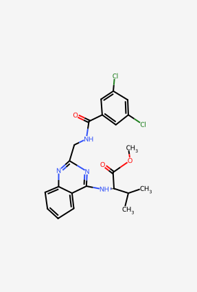 COC(=O)[C@@H](Nc1nc(CNC(=O)c2cc(Cl)cc(Cl)c2)nc2ccccc12)C(C)C